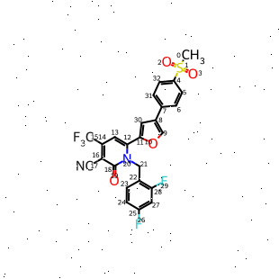 CS(=O)(=O)c1ccc(-c2coc(-c3cc(C(F)(F)F)c(C#N)c(=O)n3Cc3ccc(F)cc3F)c2)cc1